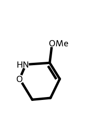 COC1=CCCON1